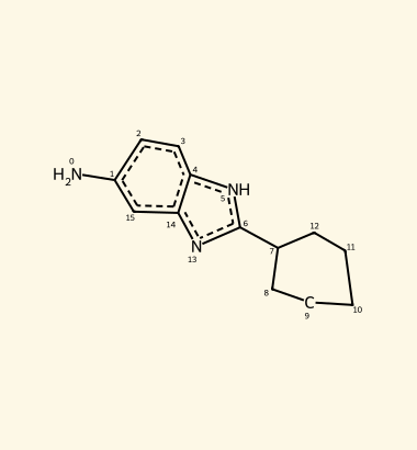 Nc1ccc2[nH]c(C3CCCCC3)nc2c1